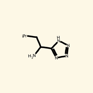 CC(C)CC(N)c1nnn[nH]1